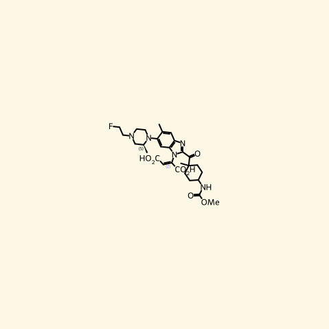 COC(=O)NC1CCC(C)(C(=O)c2nc3cc(C)c(N4CCN(CCF)C[C@@H]4C)cc3n2/C(=C\C(=O)O)C(=O)O)CC1